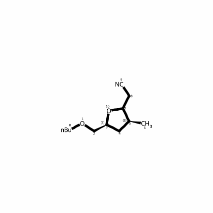 CCCCOC[C@@H]1C[C@H](C)C(CC#N)O1